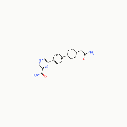 NC(=O)CC1CCC(c2ccc(-c3cncc(C(N)=O)n3)cc2)CC1